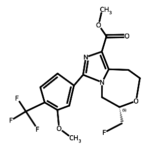 COC(=O)c1nc(-c2ccc(C(F)(F)F)c(OC)c2)n2c1CCO[C@H](CF)C2